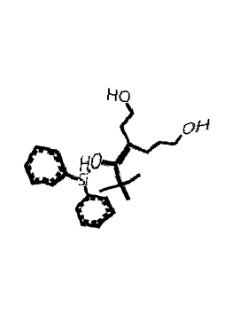 CC(C)(C)C(O[SiH](c1ccccc1)c1ccccc1)=C(CCO)CCCO